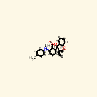 Cc1ccc(N(C)c2cccc3c2C(=O)OC32c3ccccc3Oc3ccccc32)cc1